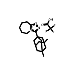 CC12CC3CC(C)(C1)CC(c1nnc4n1CCCCC4)(C3)C2.O=C(O)C(F)(F)F